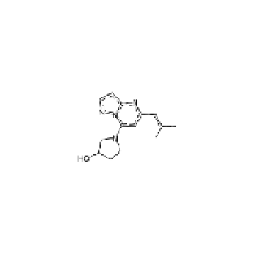 CC(C)=Cc1cc(N2CCC(O)C2)n2nccc2n1